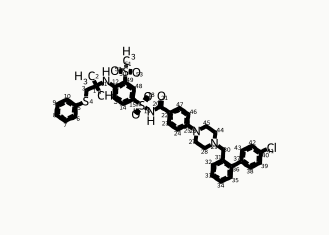 CC(C)(CSc1ccccc1)Nc1ccc(S(=O)(=O)NC(=O)c2ccc(N3CCN(Cc4ccccc4-c4ccc(Cl)cc4)CC3)cc2)cc1S(C)(=O)=O